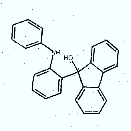 OC1(c2ccccc2Nc2ccccc2)c2ccccc2-c2ccccc21